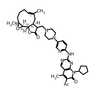 CC(=O)c1c(C)c2cnc(Nc3ccc(N4CCN(CC5C(=O)O[C@@H]6[C@H]7O[C@]7(C)CCC/C=C(\C)C[C@@H]56)CC4)cn3)nc2n(C2CCCC2)c1=O